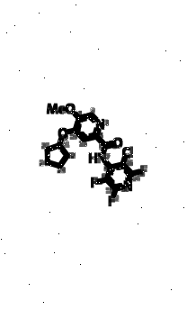 COc1cnc(C(=O)Nc2c(F)c(F)nc(F)c2Cl)cc1OC1CCCC1